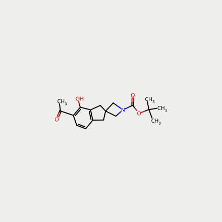 CC(=O)c1ccc2c(c1O)CC1(C2)CN(C(=O)OC(C)(C)C)C1